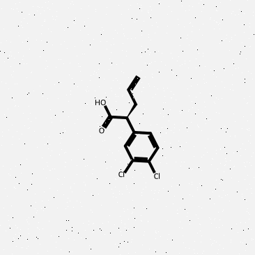 C=CC[C@H](C(=O)O)c1ccc(Cl)c(Cl)c1